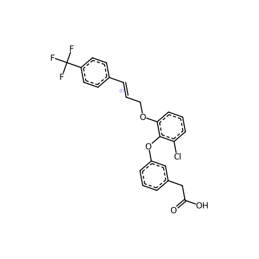 O=C(O)Cc1cccc(Oc2c(Cl)cccc2OC/C=C/c2ccc(C(F)(F)F)cc2)c1